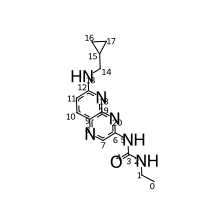 CCNC(=O)Nc1cnc2ccc(NCC3CC3)nc2n1